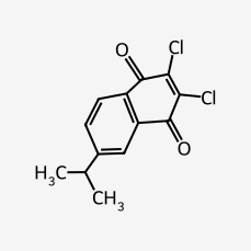 CC(C)c1ccc2c(c1)C(=O)C(Cl)=C(Cl)C2=O